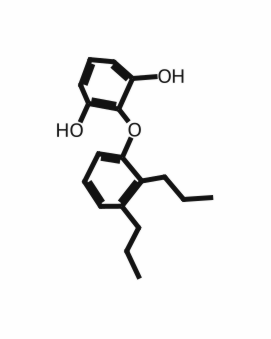 CCCc1cccc(Oc2c(O)cccc2O)c1CCC